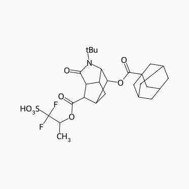 CC(OC(=O)C1C2CC3C1C(=O)N(C(C)(C)C)C3C2OC(=O)C12CC3CC(CC(C3)C1)C2)C(F)(F)S(=O)(=O)O